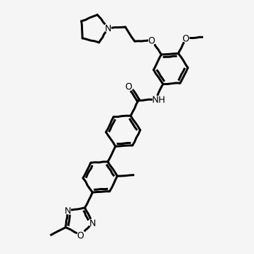 COc1ccc(NC(=O)c2ccc(-c3ccc(-c4noc(C)n4)cc3C)cc2)cc1OCCN1CCCC1